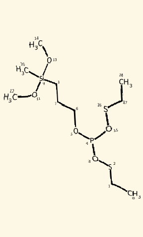 CCSOP(OCCC[Si](C)(OC)OC)OSCC